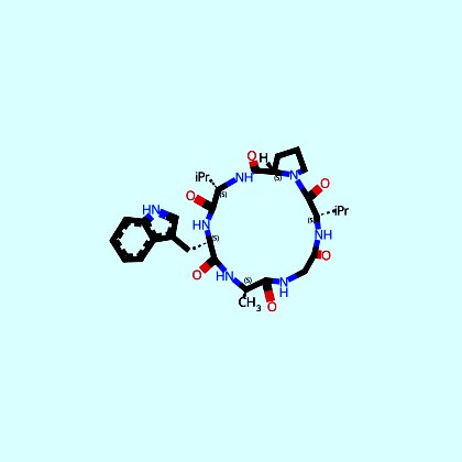 CC(C)[C@@H]1NC(=O)[C@@H]2CCCN2C(=O)[C@H](C(C)C)NC(=O)CNC(=O)[C@H](C)NC(=O)[C@H](Cc2c[nH]c3ccccc23)NC1=O